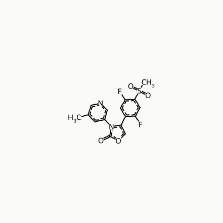 Cc1cncc(-n2c(-c3cc(F)c(S(C)(=O)=O)cc3F)coc2=O)c1